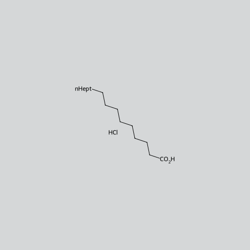 CCCCCCCCCCCCCCCC(=O)O.Cl